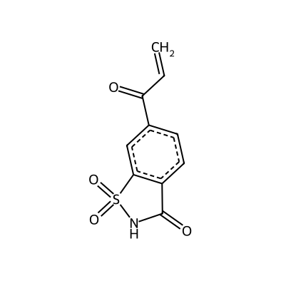 C=CC(=O)c1ccc2c(c1)S(=O)(=O)NC2=O